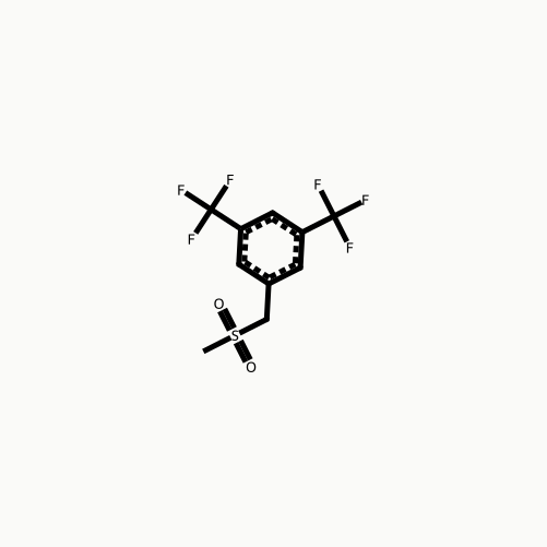 CS(=O)(=O)Cc1cc(C(F)(F)F)cc(C(F)(F)F)c1